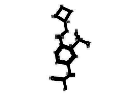 CC(=O)Nc1ccc(NCC2CCO2)c([N+](=O)[O-])c1